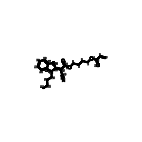 C=CC(=O)OCCCCOC(=O)/C(C#N)=C1\Sc2ccccc2N1CCCC